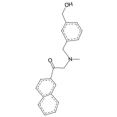 CN(CC(=O)c1ccc2ccccc2c1)Cc1cccc(CO)c1